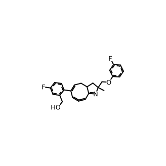 CC1(COc2cccc(F)c2)CC2C/C=C(/c3ccc(F)cc3CO)C=C=CC2=N1